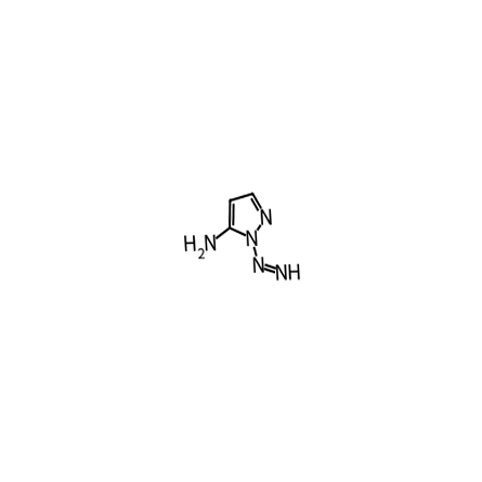 N=Nn1nccc1N